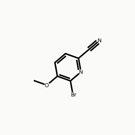 COc1ccc(C#N)nc1Br